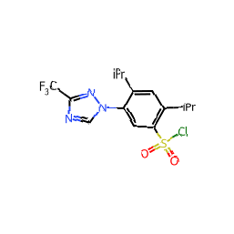 CC(C)c1cc(C(C)C)c(S(=O)(=O)Cl)cc1-n1cnc(C(F)(F)F)n1